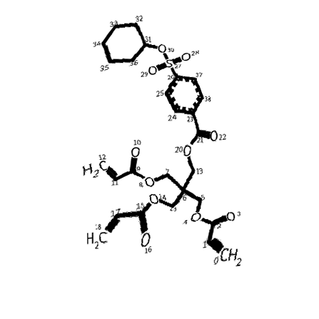 C=CC(=O)OCC(COC(=O)C=C)(COC(=O)C=C)COC(=O)c1ccc(S(=O)(=O)OC2CCCCC2)cc1